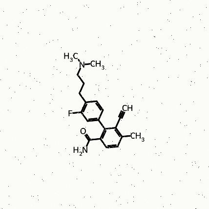 C#Cc1c(C)ccc(C(N)=O)c1-c1ccc(CCCN(C)C)c(F)c1